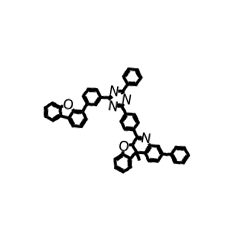 CC12c3ccc(-c4ccccc4)cc3N=C(c3ccc(-c4nc(-c5ccccc5)nc(-c5cccc(-c6cccc7c6oc6ccccc67)c5)n4)cc3)C1Oc1ccccc12